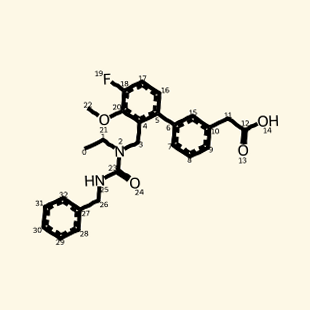 CCN(Cc1c(-c2cccc(CC(=O)O)c2)ccc(F)c1OC)C(=O)NCc1ccccc1